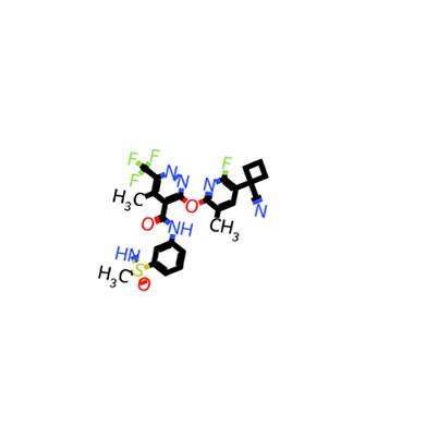 Cc1cc(C2(C#N)CCC2)c(F)nc1Oc1nnc(C(F)(F)F)c(C)c1C(=O)Nc1cccc(S(C)(=N)=O)c1